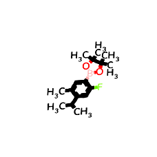 Cc1cc(B2OC(C)(C)C(C)(C)O2)c(F)cc1C(C)C